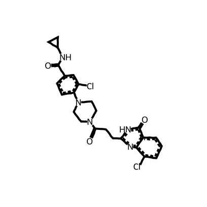 O=C(NC1CC1)c1ccc(N2CCN(C(=O)CCc3nc4c(Cl)cccc4c(=O)[nH]3)CC2)c(Cl)c1